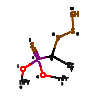 CCCOP(=S)(OCCC)C(CC)SSS